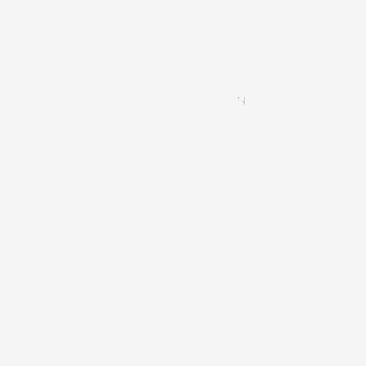 CN1CCC(=O)C(c2ccccc2Cc2ccccc2)C1